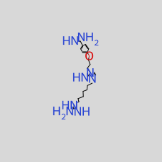 N=C(N)NCCCCCCCn1ccn(CCCOc2ccc(C(=N)N)cc2)c1=N